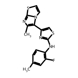 Cc1ccc(Nc2nc(-c3c(C)nc4sccn34)cs2)c(F)c1